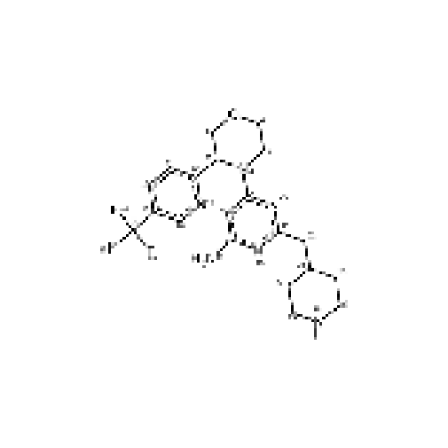 Nc1cc(N2CCOCC2c2ccc(C(F)(F)F)cn2)nc(CC2CCNCC2)n1